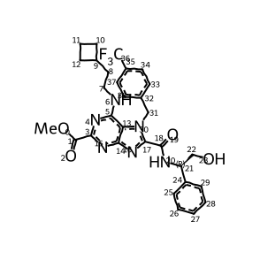 COC(=O)c1nc(NCCC2CCC2)c2c(n1)nc(C(=O)N[C@@H](CO)c1ccccc1)n2Cc1ccc(C(F)(F)F)cc1